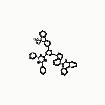 CC1(C)c2ccccc2-c2ccc(-c3cc(C4=NC(c5ccccc5)NC(c5ccccc5)N4)cc(-c4cccc5c(C6=c7cnccc7=C7C=CC=CC7N6)cccc45)c3)cc21